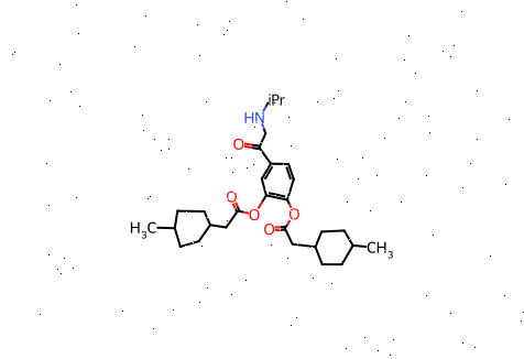 CC1CCC(CC(=O)Oc2ccc(C(=O)CNC(C)C)cc2OC(=O)CC2CCC(C)CC2)CC1